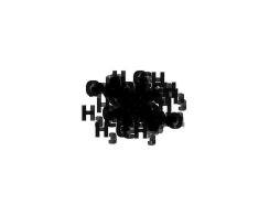 CC(C)c1ccc(Oc2cc3c4c(cc(Oc5ccc(C(C)C)cc5)c5c6c(Oc7ccc(C(C)C)cc7)cc7c8c(cc(Oc9ccc(C(C)C)cc9)c(c2c45)c86)C(=O)N(C(Cc2ccccc2)C(=O)OCCNCC2CO2)C7=O)C(=O)N(C(Cc2ccccc2)C(=O)OCCNCC2CO2)C3=O)cc1